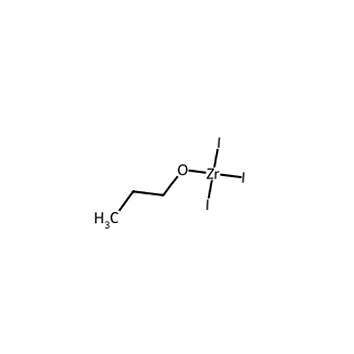 CCC[O][Zr]([I])([I])[I]